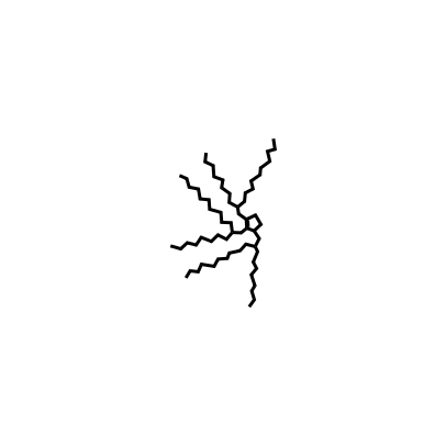 CCCCCCCCCCC(CCCCCCCC)CC1=C(CC(CCCCCCCC)CCCCCCCCCC)C(CC(CCCCCCCC)CCCCCCCCCC)CC1